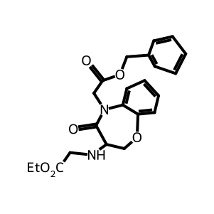 CCOC(=O)CNC1COc2ccccc2N(CC(=O)OCc2ccccc2)C1=O